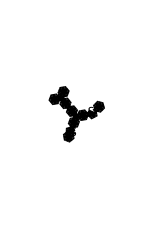 c1ccc(-c2ccc(-c3ccc(N(c4ccc(-c5ccc(N(c6ccccc6)c6ccccc6)cc5)cc4)c4ccc(-c5cc6ccccc6s5)cc4)cc3)s2)cc1